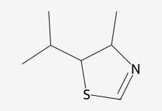 CC(C)C1SC=NC1C